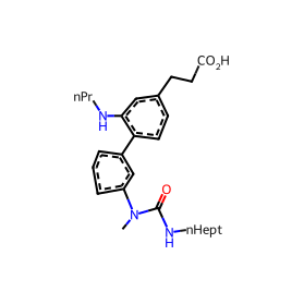 CCCCCCCNC(=O)N(C)c1cccc(-c2ccc(CCC(=O)O)cc2NCCC)c1